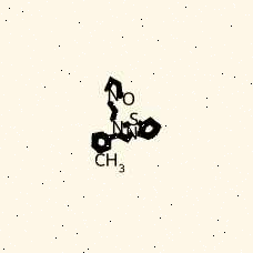 Cc1cccc(C2=CN3c4ccccc4SC3N2CCCN2CCCC2=O)c1